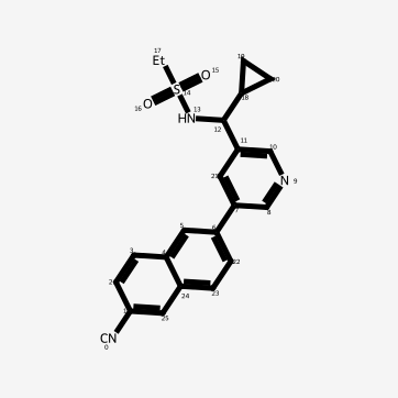 [C-]#[N+]c1ccc2cc(-c3cncc(C(NS(=O)(=O)CC)C4CC4)c3)ccc2c1